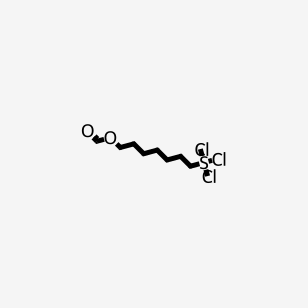 O=COCCCCCCCS(Cl)(Cl)Cl